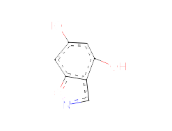 Oc1cc(O)c2cnoc2c1